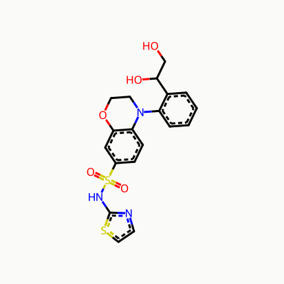 O=S(=O)(Nc1nccs1)c1ccc2c(c1)OCCN2c1ccccc1C(O)CO